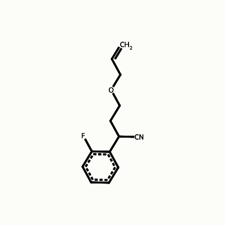 C=CCOCCC(C#N)c1ccccc1F